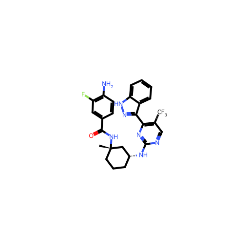 C[C@]1(NC(=O)c2ccc(N)c(F)c2)CCC[C@@H](Nc2ncc(C(F)(F)F)c(-c3n[nH]c4ccccc34)n2)C1